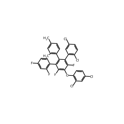 Cc1ccc(-c2c(-c3ccc(F)cc3F)c(F)c(Oc3ccc(Cl)cc3Cl)c(F)c2-c2cc(Cl)ccc2Cl)c(C)c1